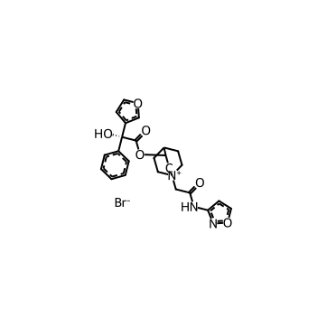 O=C(C[N+]12CCC(CC1)C(OC(=O)[C@@](O)(c1ccccc1)c1ccoc1)C2)Nc1ccon1.[Br-]